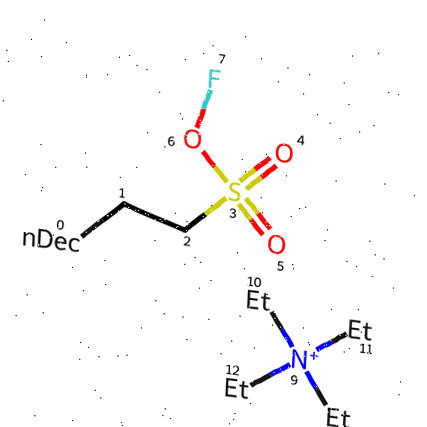 CCCCCCCCCCCCS(=O)(=O)OF.CC[N+](CC)(CC)CC